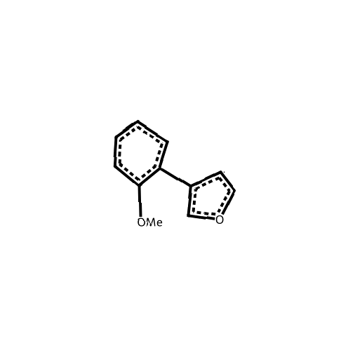 COc1ccccc1-c1[c]coc1